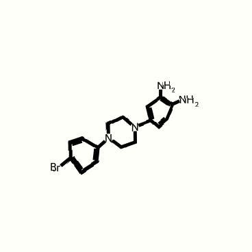 Nc1ccc(N2CCN(c3ccc(Br)cc3)CC2)cc1N